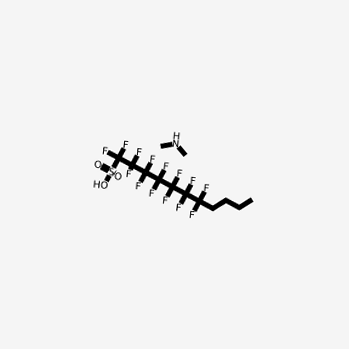 CCCCC(F)(F)C(F)(F)C(F)(F)C(F)(F)C(F)(F)C(F)(F)C(F)(F)S(=O)(=O)O.CNC